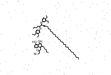 CCCCCCCCCCCCCCCCCCCCCCCCCCC#CC(=Nc1ccc(CC)c(CC)c1)C(CCCC)=Nc1ccc(CC)c(CC)c1.CCCCCc1cc(O)c2c(O)cccc2c1CC(=O)CC.[Ni]